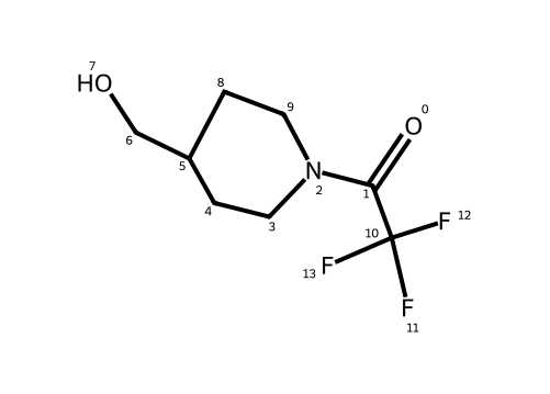 O=C(N1CCC(CO)CC1)C(F)(F)F